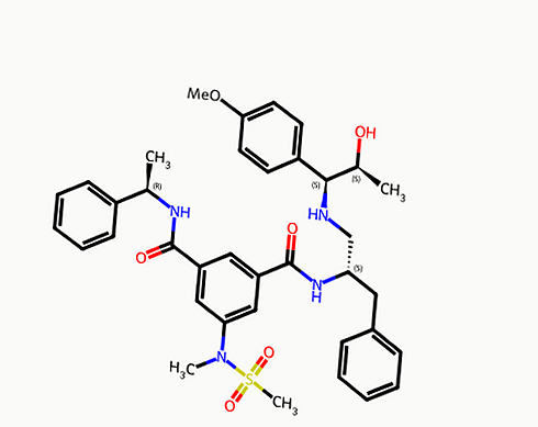 COc1ccc([C@H](NC[C@H](Cc2ccccc2)NC(=O)c2cc(C(=O)N[C@H](C)c3ccccc3)cc(N(C)S(C)(=O)=O)c2)[C@H](C)O)cc1